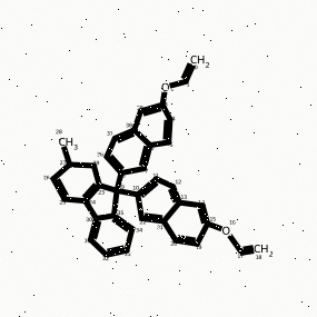 C=COc1ccc2cc(C3(c4ccc5cc(OC=C)ccc5c4)C4=C(C=CC(C)C4)c4ccccc43)ccc2c1